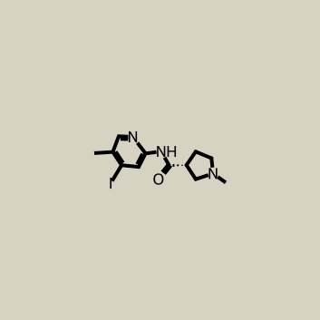 Cc1cnc(NC(=O)[C@@H]2CCN(C)C2)cc1I